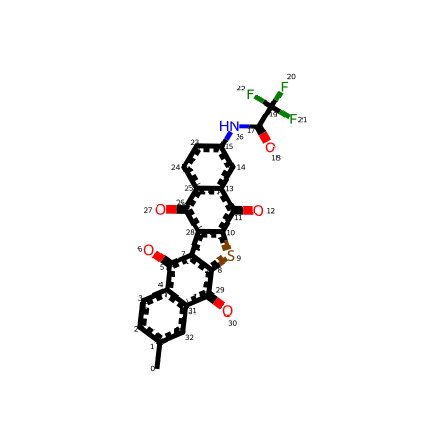 Cc1ccc2c(=O)c3c(sc4c(=O)c5cc(NC(=O)C(F)(F)F)ccc5c(=O)c43)c(=O)c2c1